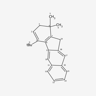 CC(C)(C)C1=CCC(C)(C)C2=C1c1cc3ccccc3cc1C2